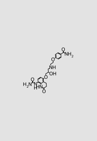 NC(=O)Nc1ccc(OCC(O)CNCCOc2ccc(C(N)=O)cc2)c2c1NC(=O)CC2